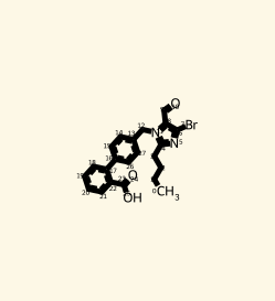 CCCCc1nc(Br)c(C=O)n1Cc1ccc(-c2ccccc2C(=O)O)cc1